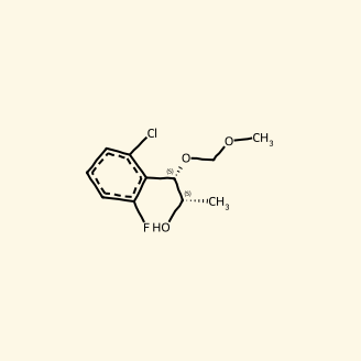 COCO[C@@H](c1c(F)cccc1Cl)[C@H](C)O